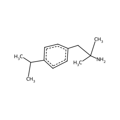 CC(C)c1ccc(CC(C)(C)N)cc1